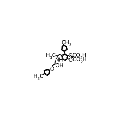 Cc1ccc(OCC(O)CNC(C)Cc2ccc3c(c2-c2ccc(C)cc2)OC(C(=O)O)(C(=O)O)O3)cc1